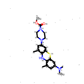 CCCCN(C)c1cc(C)c2c(c1)Sc1cc(N3CCN(C(=O)OC(C)(C)C)CC3)cc(C)c1N2